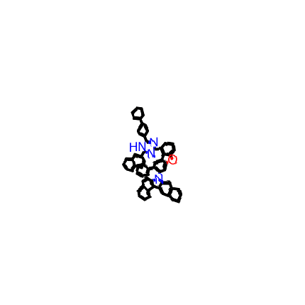 C1=Cc2cc3c(cc2CC1)c1c2ccccc2ccc1n3-c1cc2oc3cccc(C4=NC(c5ccc6ccccc6c5)NC(c5ccc(-c6ccccc6)cc5)=N4)c3c2cc1-c1ccccc1